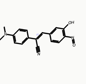 CN(C)c1ccc(/C(C#N)=C/c2ccc(N=O)c(O)c2)cc1